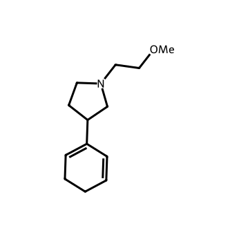 COCCN1CCC(C2=CCCC=C2)C1